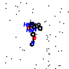 COc1ccccc1-c1cc2nc[nH]c(=O)c2c(Nc2ccc(OCCN3CCCC3)cc2)n1